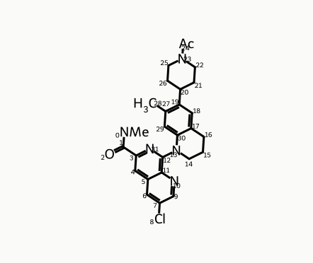 CNC(=O)c1cc2cc(Cl)cnc2c(N2CCCc3cc(C4CCN(C(C)=O)CC4)c(C)cc32)n1